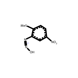 CSc1ccc([N+](=O)[O-])cc1/N=N\O